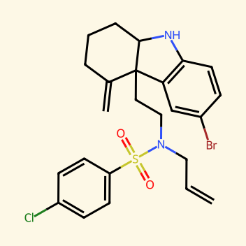 C=CCN(CCC12C(=C)CCCC1Nc1ccc(Br)cc12)S(=O)(=O)c1ccc(Cl)cc1